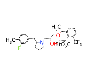 CCOC(=O)/C=C/c1c([C@@H](C)OC[C@H](O)CN2CCC[C@H]2Cc2ccc(C)c(F)c2)cccc1C(F)(F)F